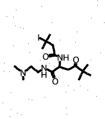 CN(C)CCNC(=O)C(CC(=O)C(C)(C)C)NC(=O)CC(C)(C)I